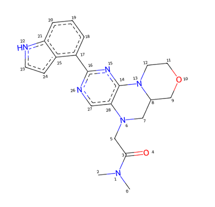 CN(C)C(=O)CN1CC2COCCN2c2nc(-c3cccc4[nH]ccc34)ncc21